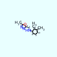 Cc1nnc(CNc2cccc(C)c2C)o1